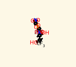 Cc1cc(C)c(C(C)(O)C(F)(F)F)cc1-c1cc(C(C)(O)C(F)(F)F)c(N2C(=O)c3ccc(S(=O)(=O)c4ccc5c(c4)C(=O)N(C)C5=O)cc3C2=O)cc1C